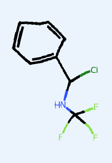 FC(F)(F)NC(Cl)c1ccccc1